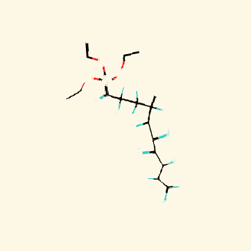 CCO[Si](OCC)(OCC)C(F)C(F)(F)C(F)(F)C(C)(F)C(F)C(F)C(F)C(F)C(F)C(F)F